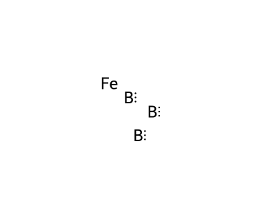 [B].[B].[B].[Fe]